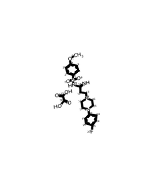 COc1ccc(S(=O)(=O)NC(=N)CCN2CCN(c3ccc(F)cc3)CC2)cc1.O=C(O)C(=O)O